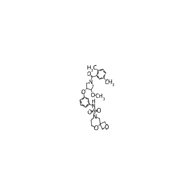 COC1CN(C(=O)c2cc(C)ccc2C)CC1Oc1cccc(NS(=O)(=O)N2CCOC3(COC3)C2)c1